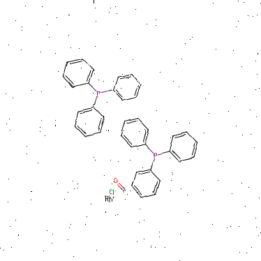 C=O.[Cl-].[Rh+].c1ccc(P(c2ccccc2)c2ccccc2)cc1.c1ccc(P(c2ccccc2)c2ccccc2)cc1